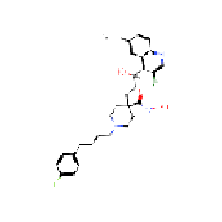 COc1ccc2ncc(Cl)c([C@H](O)CCC3(C(=O)NO)CCN(CCCCc4ccc(F)cc4)CC3)c2c1